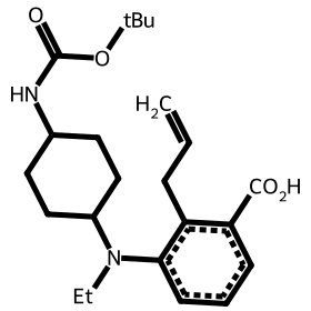 C=CCc1c(C(=O)O)cccc1N(CC)C1CCC(NC(=O)OC(C)(C)C)CC1